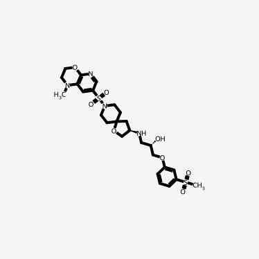 CN1CCOc2ncc(S(=O)(=O)N3CCC4(CC3)C[C@@H](NC[C@H](O)COc3cccc(S(C)(=O)=O)c3)CO4)cc21